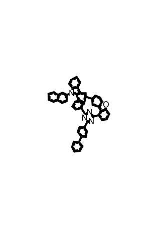 c1ccc(-c2ccc(-c3nc(-c4ccccc4)nc(-c4cccc5oc6ccc(-c7ccc8c(c7)c7ccccc7n8-c7ccc8ccccc8c7)cc6c45)n3)cc2)cc1